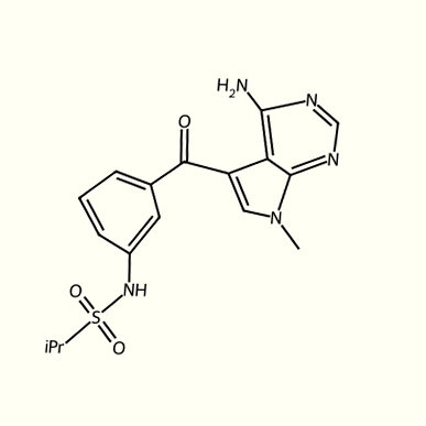 CC(C)S(=O)(=O)Nc1cccc(C(=O)c2cn(C)c3ncnc(N)c23)c1